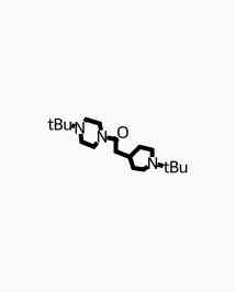 CC(C)(C)N1CCC(CC(=O)N2CCN(C(C)(C)C)CC2)CC1